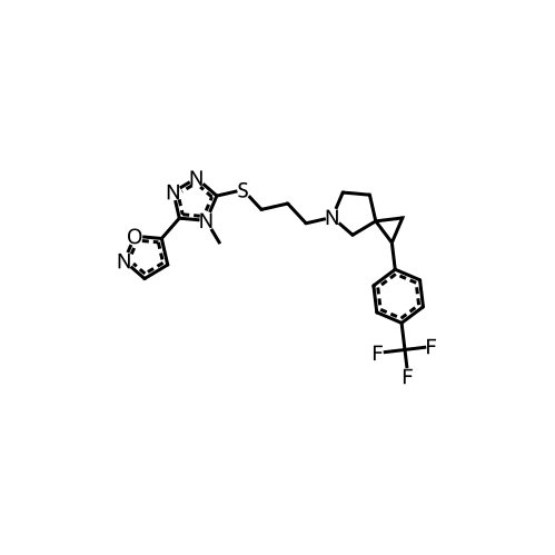 Cn1c(SCCCN2CCC3(CC3c3ccc(C(F)(F)F)cc3)C2)nnc1-c1ccno1